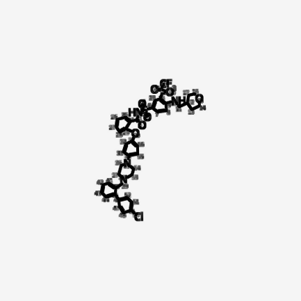 O=C(NS(=O)(=O)c1ccc(NCC2CCOCC2)c(S(=O)(=O)C(F)(F)F)c1)c1ccccc1Oc1ccc(N2CCN(Cc3ccccc3-c3ccc(Cl)cc3)CC2)cc1